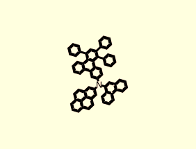 c1ccc(-c2cc(-c3ccccc3)c3c4ccccc4c4cc(N(c5cc6ccc7cccc8ccc(c5)c6c78)c5cc6ccccc6c6ccccc56)ccc4c3c2-c2ccccc2)cc1